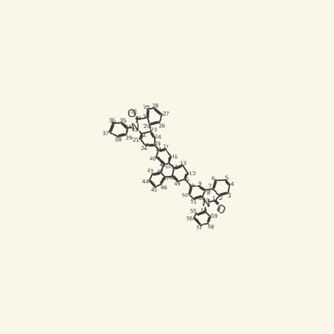 O=c1c2ccccc2c2cc(-c3ccc4c5ccc(-c6ccc7c(c6)c6ccccc6c(=O)n7-c6ccccc6)cc5c5ccccc5c4c3)ccc2n1-c1ccccc1